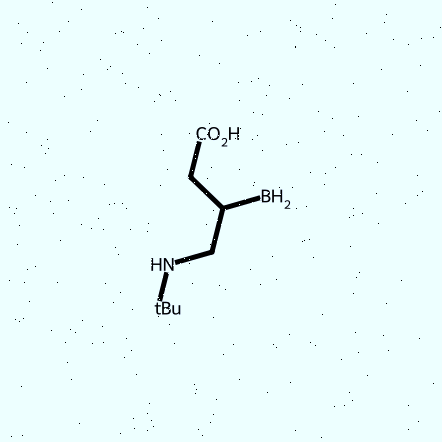 BC(CNC(C)(C)C)CC(=O)O